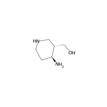 N[C@H]1CCNC[C@@H]1CO